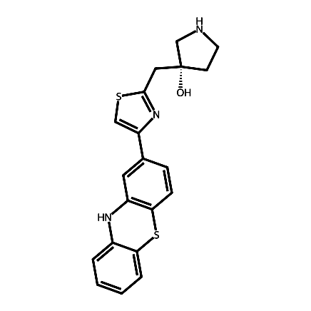 O[C@@]1(Cc2nc(-c3ccc4c(c3)Nc3ccccc3S4)cs2)CCNC1